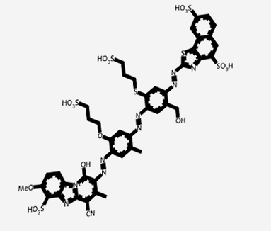 COc1ccc2c(nc3c(C#N)c(C)c(N=Nc4cc(C)c(N=Nc5cc(CO)c(N=Nc6nc7c(S(=O)(=O)O)cc8ccc(S(=O)(=O)O)cc8c7s6)cc5SCCCS(=O)(=O)O)cc4OCCCS(=O)(=O)O)c(O)n32)c1S(=O)(=O)O